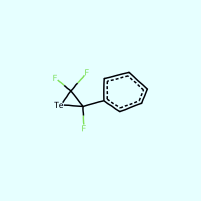 FC1(F)[Te]C1(F)c1ccccc1